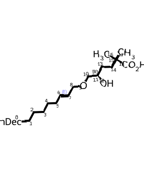 CCCCCCCCCCCCCCC/C=C/COC[C@H](O)CCC(C)(C)C(=O)O